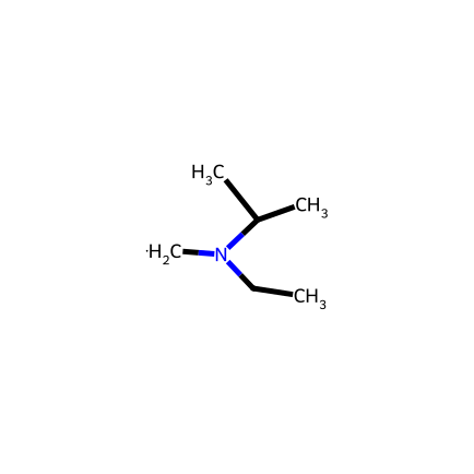 [CH2]N(CC)C(C)C